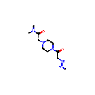 CNNCC(=O)N1CCN(CC(=O)N(C)C)CC1